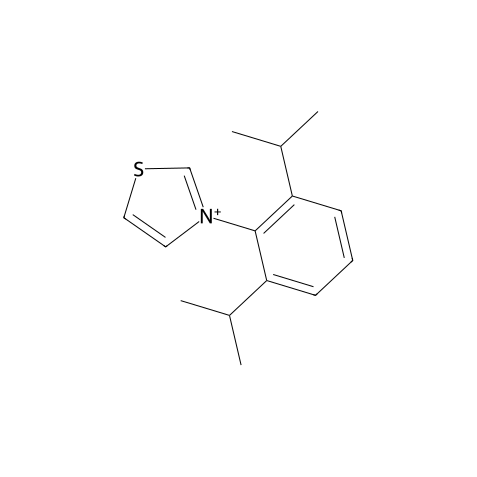 CC(C)c1cccc(C(C)C)c1-[n+]1ccsc1